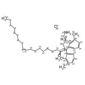 CCCCCCCC/C=C\CCCCCCCC(=O)[N+](CCCN)(c1cccc(C)c1C)c1cccc(C)c1C.[Cl-]